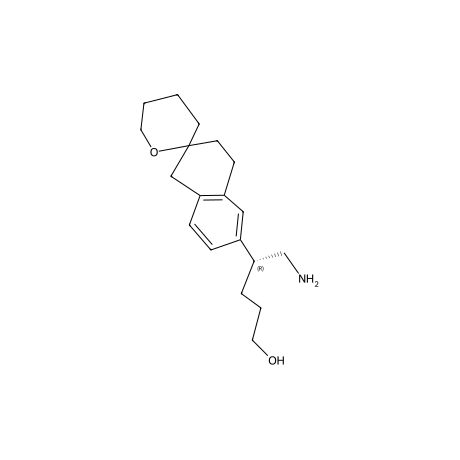 NC[C@H](CCCO)c1ccc2c(c1)CCC1(CCCCO1)C2